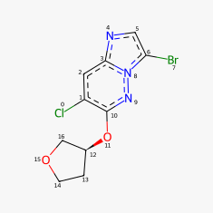 Clc1cc2ncc(Br)n2nc1O[C@H]1CCOC1